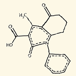 Cc1c2c(n(-c3ccccc3)c(=O)c1C(=O)O)CCCC2=O